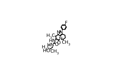 CC1c2nn(-c3ccc(F)cc3)c3c2N(C(=O)[C@@H]1NC(=O)NCC(C)(C)O)C(C)CC3